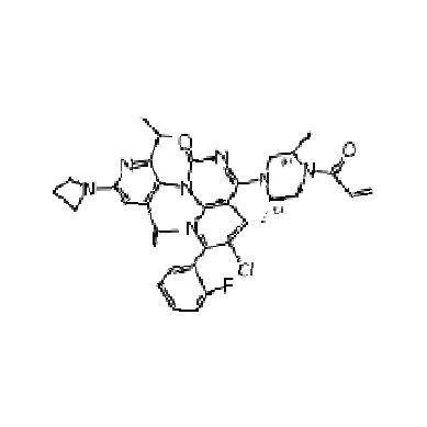 C=CC(=O)N1C[C@H](C)N(c2nc(=O)n(-c3c(C(C)C)cc(N4CCC4)nc3C(C)C)c3nc(-c4ccccc4F)c(Cl)cc23)C[C@H]1C